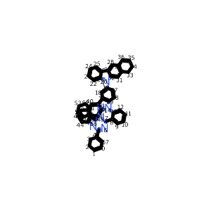 C1=CCCC(C2=NC(c3ccccc3-n3c4c(c5cc(-n6c7ccccc7c7cc8c(cc76)CCC=C8)ccc53)=CC3CC=CC=C3C=4)NC(C3=CCCC=C3)=N2)=C1